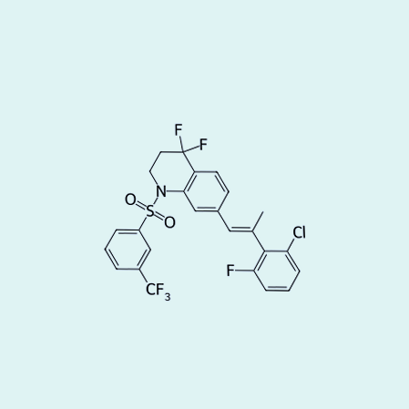 C/C(=C\c1ccc2c(c1)N(S(=O)(=O)c1cccc(C(F)(F)F)c1)CCC2(F)F)c1c(F)cccc1Cl